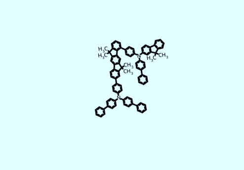 CC1(C)c2ccccc2-c2ccc(N(c3ccc(-c4ccccc4)cc3)c3ccc(-c4cccc5c4-c4cc6c(cc4C5(C)C)-c4ccc(-c5ccc(N(c7ccc(-c8ccccc8)cc7)c7ccc(-c8ccccc8)cc7)cc5)cc4C6(C)C)cc3)cc21